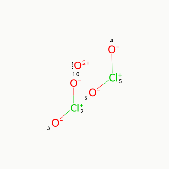 [O+2].[O-][Cl+][O-].[O-][Cl+][O-]